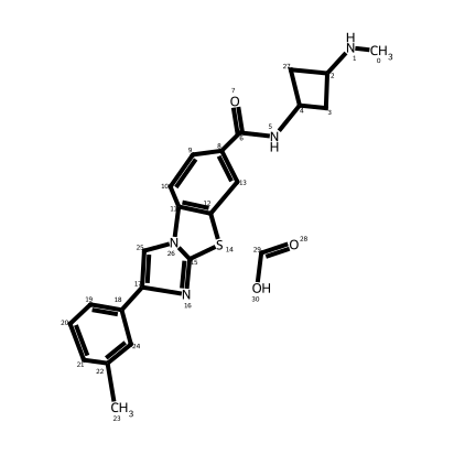 CNC1CC(NC(=O)c2ccc3c(c2)sc2nc(-c4cccc(C)c4)cn23)C1.O=CO